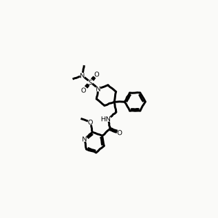 COc1ncccc1C(=O)NCC1(c2ccccc2)CCN(S(=O)(=O)N(C)C)CC1